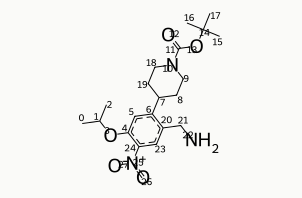 CC(C)Oc1cc(C2CCN(C(=O)OC(C)(C)C)CC2)c(CN)cc1[N+](=O)[O-]